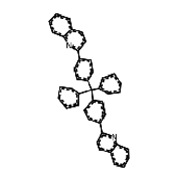 c1ccc(C(c2ccccc2)(c2ccc(-c3ccc4ccccc4n3)cc2)c2ccc(-c3ccc4ccccc4n3)cc2)cc1